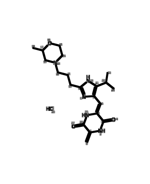 C=c1[nH]c(=O)c(=Cc2nc(CCCN3CCOC(C)C3)[nH]c2C(C)C)[nH]c1=O.Cl